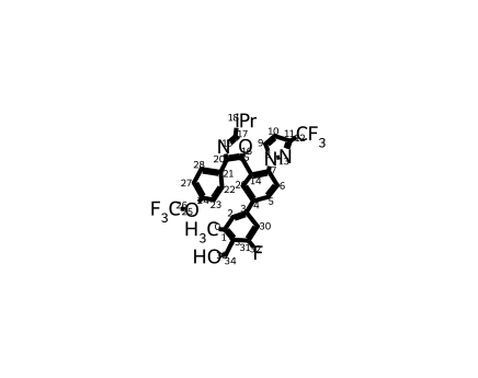 Cc1cc(-c2ccc(-n3ccc(C(F)(F)F)n3)c(-c3oc(C(C)C)nc3-c3ccc(OC(F)(F)F)cc3)c2)cc(F)c1CO